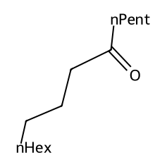 CCCCCCCCCC(=O)CCCCC